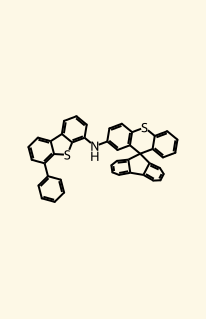 c1ccc(-c2cccc3c2sc2c(Nc4ccc5c(c4)C4(c6ccccc6S5)c5ccccc5-c5ccccc54)cccc23)cc1